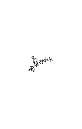 CCOC(=O)CCN1CCN(c2cnc(-c3nc4nc(-c5cnc(OCC)c(C(F)(F)F)c5)cc(N(C)CC(C)(C)COC)c4[nH]3)cn2)C[C@@H]1C